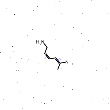 C/C(N)=C\C=C/CN